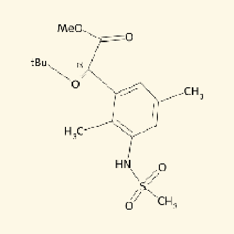 COC(=O)[C@@H](OC(C)(C)C)c1cc(C)cc(NS(C)(=O)=O)c1C